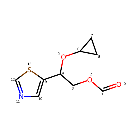 O=COCC(OC1CC1)c1cncs1